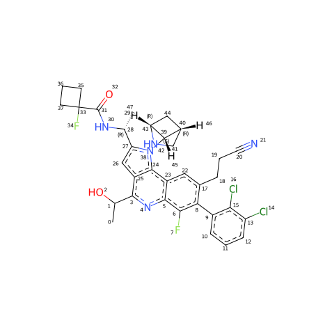 CC(O)c1nc2c(F)c(-c3cccc(Cl)c3Cl)c(CCC#N)cc2c2c1cc([C@@H](C)NC(=O)C1(F)CCC1)n2[C@H]1[C@H]2CN[C@@H]1C2